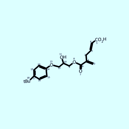 C=C(CC=CC(=O)O)C(=O)OCC(O)COc1ccc(C(C)(C)C)cc1